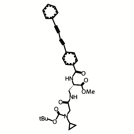 COC(=O)[C@H](CNC(=O)CN(C(=O)OC(C)(C)C)C1CC1)NC(=O)c1ccc(C#CC#Cc2ccccc2)cc1